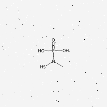 CN(S)P(=O)(O)O